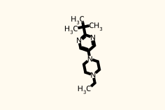 CCN1CCN(c2cnc(C(C)(C)C)nc2)CC1